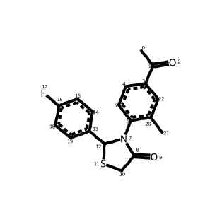 CC(=O)c1ccc(N2C(=O)CSC2c2ccc(F)cc2)c(C)c1